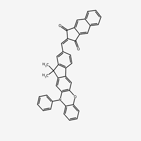 CC1(C)c2cc(C=C3C(=O)c4cc5ccccc5cc4C3=O)ccc2-c2cc3c(cc21)N(c1ccccc1)c1ccccc1O3